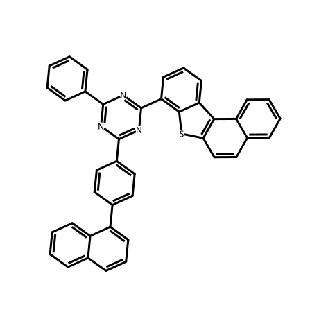 c1ccc(-c2nc(-c3ccc(-c4cccc5ccccc45)cc3)nc(-c3cccc4c3sc3ccc5ccccc5c34)n2)cc1